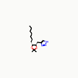 CCCCCCC[C@H]1OC(C)(C)O[C@@H]1Cc1c[nH]nn1